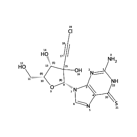 Nc1nc2c(ncn2[C@@H]2O[C@H](CO)[C@H](O)C2(O)C#CCl)c(=S)[nH]1